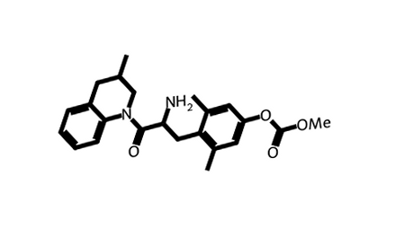 COC(=O)Oc1cc(C)c(CC(N)C(=O)N2CC(C)Cc3ccccc32)c(C)c1